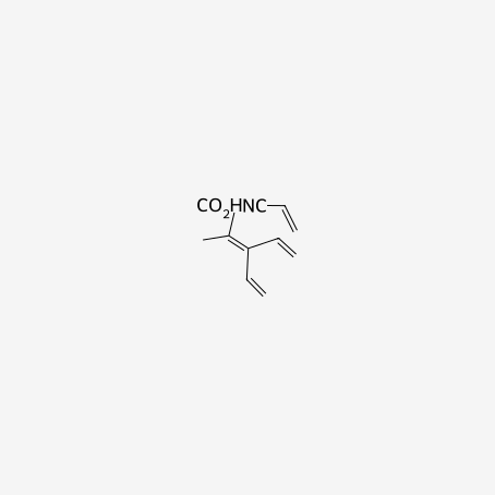 C=CC#N.C=CC(C=C)=C(C)C(=O)O